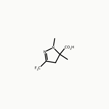 CN1N=C(C(F)(F)F)CC1(C)C(=O)O